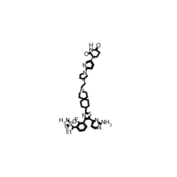 CCC(c1cccc(-c2nc(C3CCC4(CC3)CCN(CC[C@H]3CCN(c5ccc([C@@H]6CCC(=O)NC6=O)cn5)C3)CC4)sc2-c2ccnc(N)n2)c1F)S(N)(=O)=O